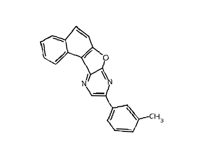 Cc1cccc(-c2cnc3c(n2)oc2ccc4ccccc4c23)c1